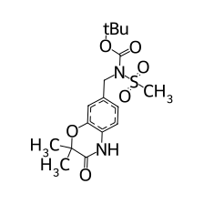 CC(C)(C)OC(=O)N(Cc1ccc2c(c1)OC(C)(C)C(=O)N2)S(C)(=O)=O